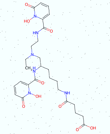 CCN(CCNC(=O)c1cccc(=O)n1O)CC(CCCCNC(=O)CCCC(=O)O)NC(=O)c1cccc(=O)n1O